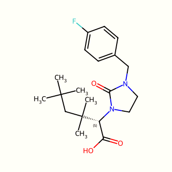 CC(C)(C)CC(C)(C)[C@@H](C(=O)O)N1CCN(Cc2ccc(F)cc2)C1=O